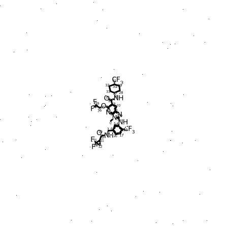 Cn1c(Nc2cc(CNC(=O)C3CC3(F)F)ccc2C(F)(F)F)nc2cc(C(=O)N[C@H]3CC[C@H](C(F)(F)F)CC3)c(OCC(F)F)nc21